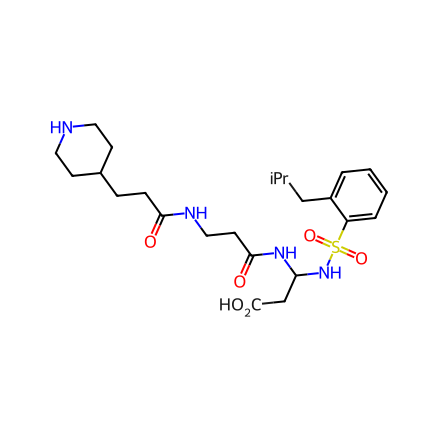 CC(C)Cc1ccccc1S(=O)(=O)NC(CC(=O)O)NC(=O)CCNC(=O)CCC1CCNCC1